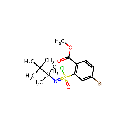 COC(=O)c1ccc(Br)cc1S(=O)(Cl)=N[Si](C)(C)C(C)(C)C